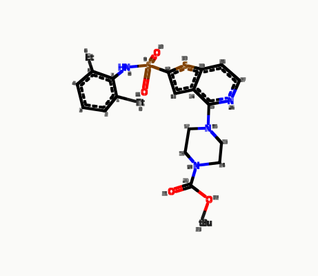 CCc1cccc(CC)c1NS(=O)(=O)c1cc2c(N3CCN(C(=O)OC(C)(C)C)CC3)nccc2s1